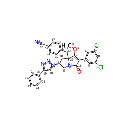 COC1=C(c2cc(Cl)cc(Cl)c2)C(=O)N2C[C@@H](n3cc(-c4ccccc4)nn3)CC12Cc1ccc(C#N)cc1